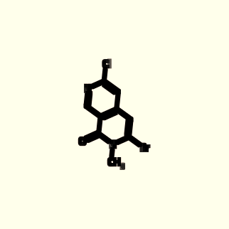 Cn1c(Br)cc2cc(Cl)ncc2c1=O